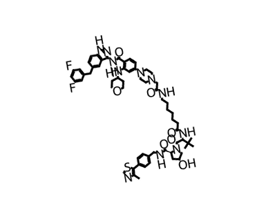 Cc1ncsc1-c1ccc(CNC(=O)[C@@H]2C[C@@H](O)CN2C(=O)[C@@H](NC(=O)CCCCCCNC(=O)CN2CCN(c3ccc(C(=O)Nc4n[nH]c5ccc(Cc6cc(F)cc(F)c6)cc45)c(NC4CCOCC4)c3)CC2)C(C)(C)C)cc1